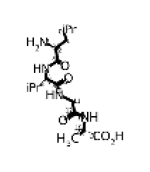 CC(C)C[C@H](N)C(=O)N[C@H](C(=O)NCC(=O)N[C@@H](C)C(=O)O)C(C)C